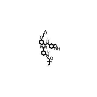 CCC(C)(C)C(=O)CNc1cccc(-c2nc(Nc3ccc4[nH]ncc4c3)c3cc(OCCOC)ccc3n2)c1